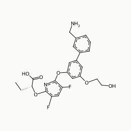 CC[C@@H](Oc1nc(Oc2cc(OCCO)cc(-c3cccc(CN)c3)c2)c(F)cc1F)C(=O)O